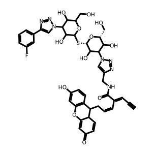 C#C/C=C(\C=C/CC1c2ccc(O)cc2OC2=CC(=O)C=CC21)C(=O)NCc1cn(C2C(O)[C@@H](CO)O[C@@H](SC3OC(CO)C(O)C(n4cc(-c5cccc(F)c5)nn4)C3O)C2O)nn1